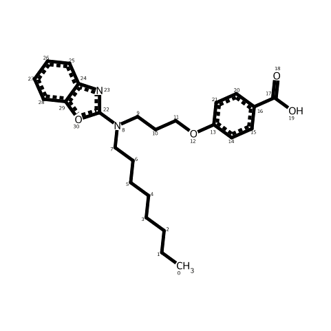 CCCCCCCCN(CCCOc1ccc(C(=O)O)cc1)c1nc2ccccc2o1